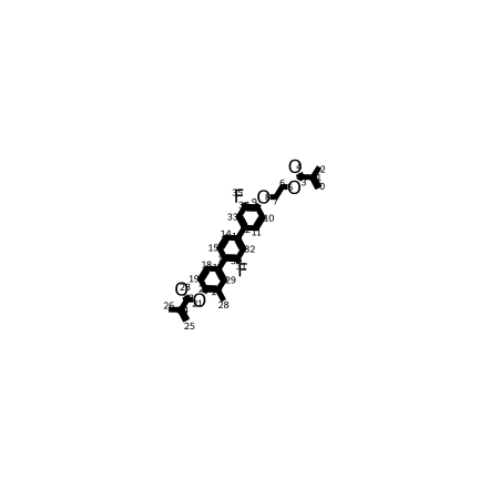 C=C(C)C(=O)OCCOc1ccc(-c2ccc(-c3ccc(OC(=O)C(=C)C)c(C)c3)c(F)c2)cc1F